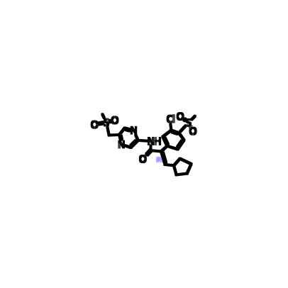 CS(=O)(=O)Cc1cnc(NC(=O)/C(=C/C2CCCC2)c2ccc(S(C)(=O)=O)c(Cl)c2)cn1